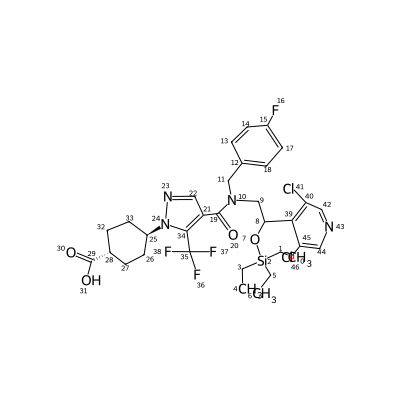 CC[Si](CC)(CC)OC(CN(Cc1ccc(F)cc1)C(=O)c1cnn([C@H]2CC[C@H](C(=O)O)CC2)c1C(F)(F)F)c1c(Cl)cncc1Cl